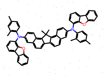 Cc1ccc(N(c2ccc3c4c(ccc3c2)-c2ccc3cc(N(c5ccc(C)cc5C)c5cccc6c5oc5ccccc56)ccc3c2C4(C)C)c2cccc3c2oc2ccccc23)c(C)c1